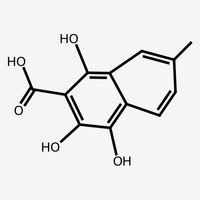 Cc1ccc2c(O)c(O)c(C(=O)O)c(O)c2c1